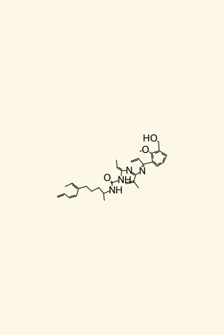 C=C/C=C\C(=C/C)CCCC(C)NC(=O)NC(=C/C)/N=C(/N=C(\C=C)c1cccc(CO)c1OC)C(=C)C